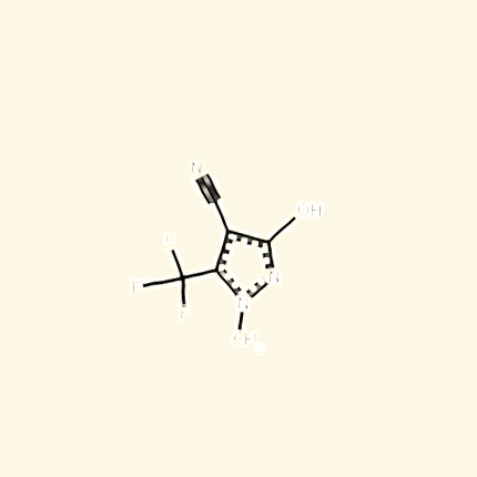 Cn1nc(O)c(C#N)c1C(F)(F)F